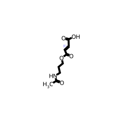 CC(=O)NCCCOC(=O)/C=C/C(=O)O